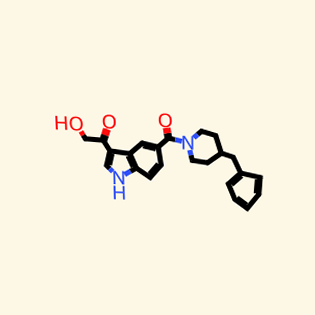 O=C(CO)c1c[nH]c2ccc(C(=O)N3CCC(Cc4ccccc4)CC3)cc12